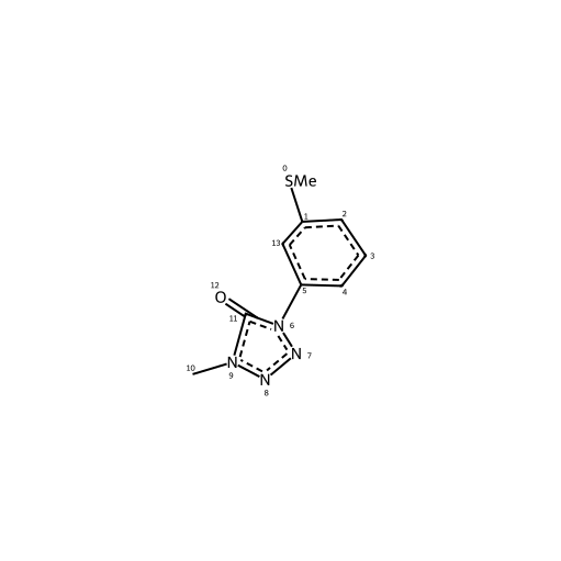 CSc1cccc(-n2nnn(C)c2=O)c1